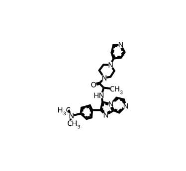 CC(Nc1c(-c2ccc(N(C)C)cc2)nc2cnccn12)C(=O)N1CCN(c2ccncc2)CC1